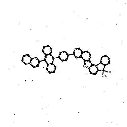 CC1(C)c2ccccc2-c2c1ccc1oc3c4cc(-c5ccc(-c6c7ccccc7c(-c7ccc8ccccc8c7)c7ccccc67)cc5)ccc4ccc3c21